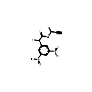 C#CC(I)OC(=O)C(Cl)c1cc([N+](=O)[O-])cc([N+](=O)[O-])c1